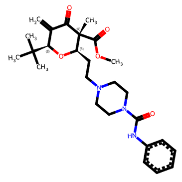 C=C1C(=O)[C@](C)(C(=O)OC)[C@@H](CCN2CCN(C(=O)Nc3ccccc3)CC2)O[C@H]1C(C)(C)C